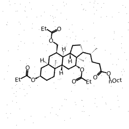 CCCCCCCCOC(=O)CC[C@@H](C)[C@H]1CC[C@H]2[C@@H]3[C@H](COC(=O)CC)C[C@@H]4C[C@H](OC(=O)CC)CC[C@]4(C)[C@H]3C[C@H](OC(=O)CC)[C@]12C